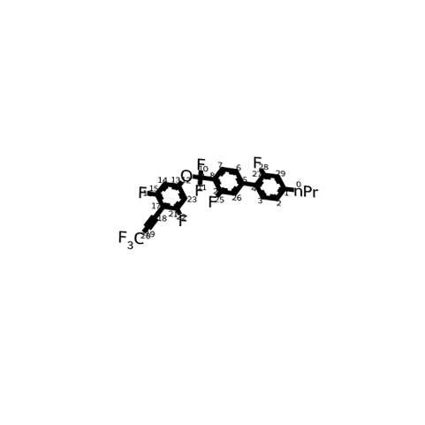 CCCc1ccc(-c2ccc(C(F)(F)Oc3cc(F)c(C#CC(F)(F)F)c(F)c3)c(F)c2)c(F)c1